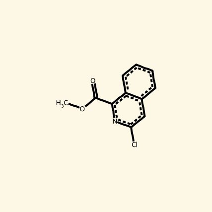 COC(=O)c1nc(Cl)cc2ccccc12